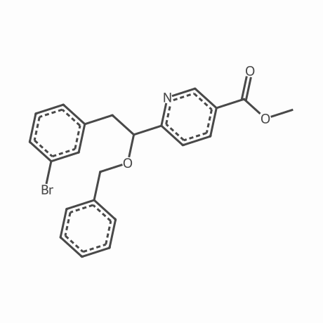 COC(=O)c1ccc(C(Cc2cccc(Br)c2)OCc2ccccc2)nc1